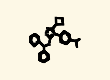 CN(C)c1ccc(-n2c(SC(c3ccccc3)c3ccccc3)nnc2C2CCC2)cc1